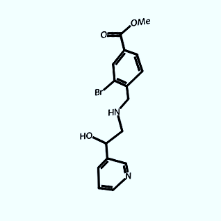 COC(=O)c1ccc(CNCC(O)c2cccnc2)c(Br)c1